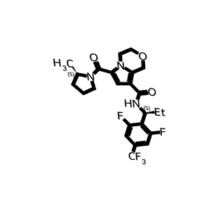 CC[C@H](NC(=O)c1cc(C(=O)N2CCC[C@@H]2C)n2c1COCC2)c1c(F)cc(C(F)(F)F)cc1F